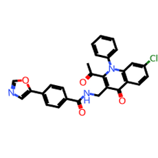 CC(=O)c1c(CNC(=O)c2ccc(-c3cnco3)cc2)c(=O)c2ccc(Cl)cc2n1-c1ccccc1